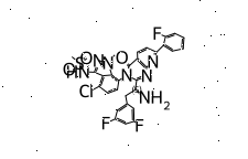 Cn1nc(NS(C)(=O)=O)c2c(Cl)ccc(-n3c([C@@H](N)Cc4cc(F)cc(F)c4)nc4nc(-c5ccccc5F)ccc4c3=O)c21